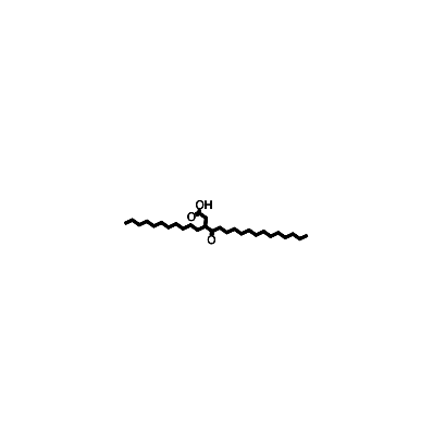 CCCCCCCCCCCCCC(=O)C(CCCCCCCCCCC)CC(=O)O